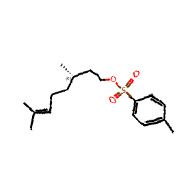 CC(C)=CCC[C@H](C)CCOS(=O)(=O)c1ccc(C)cc1